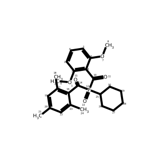 COc1cccc(OC)c1C(=O)P(=O)(C(=O)c1c(C)cc(C)cc1C)C1CCCCC1